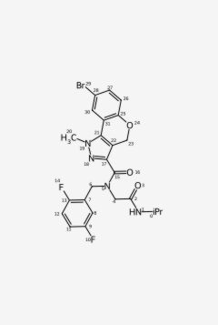 CC(C)NC(=O)CN(Cc1cc(F)ccc1F)C(=O)c1nn(C)c2c1COc1ccc(Br)cc1-2